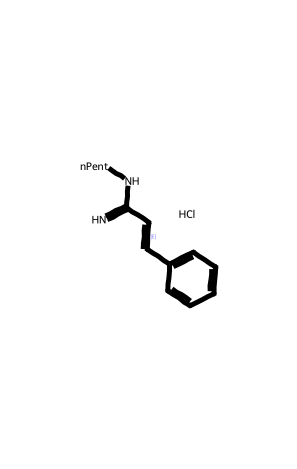 CCCCCNC(=N)/C=C/c1ccccc1.Cl